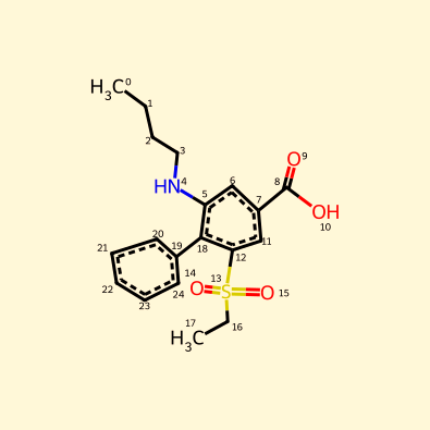 CCCCNc1cc(C(=O)O)cc(S(=O)(=O)CC)c1-c1ccccc1